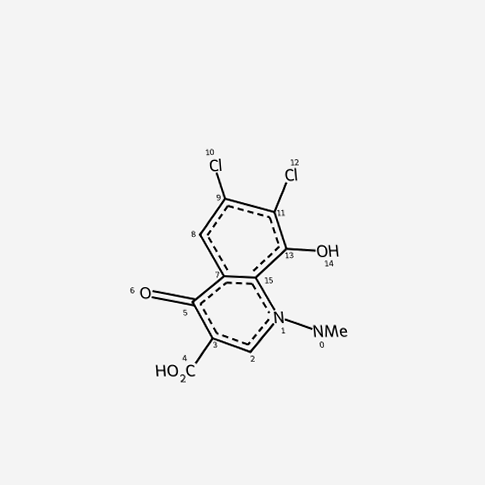 CNn1cc(C(=O)O)c(=O)c2cc(Cl)c(Cl)c(O)c21